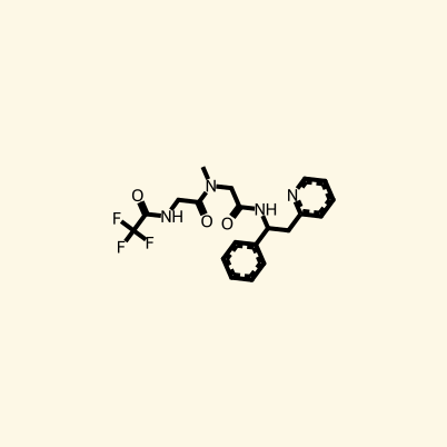 CN(CC(=O)NC(Cc1ccccn1)c1ccccc1)C(=O)CNC(=O)C(F)(F)F